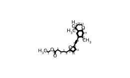 CCOC(=O)CCCCc1ccc(C#Cc2cc3c(cc2C)OCCC3(C)C)o1